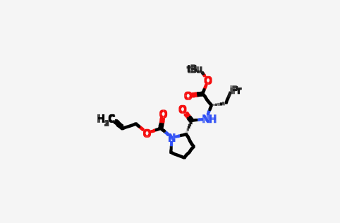 C=CCOC(=O)N1CCC[C@H]1C(=O)N[C@@H](CC(C)C)C(=O)OC(C)(C)C